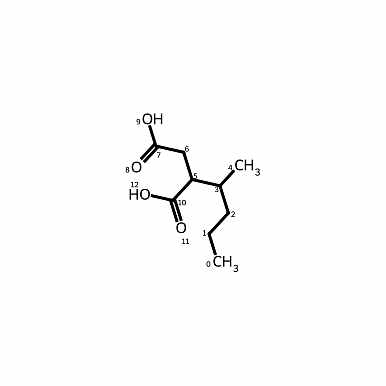 CCCC(C)C(CC(=O)O)C(=O)O